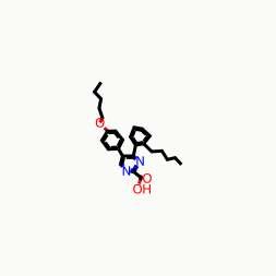 CCCCCOc1ccc(-c2cnc(C(=O)O)nc2-c2ccccc2CCCCC)cc1